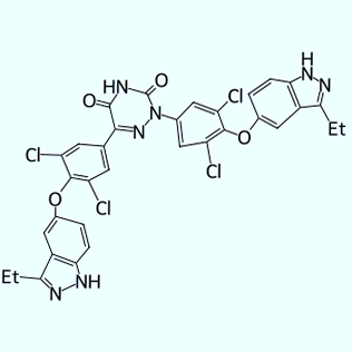 CCc1n[nH]c2ccc(Oc3c(Cl)cc(-c4nn(-c5cc(Cl)c(Oc6ccc7[nH]nc(CC)c7c6)c(Cl)c5)c(=O)[nH]c4=O)cc3Cl)cc12